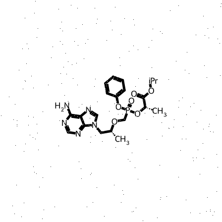 CC(C)OC(=O)[C@H](C)OP(=O)(CO[C@H](C)Cn1cnc2c(N)ncnc21)Oc1ccccc1